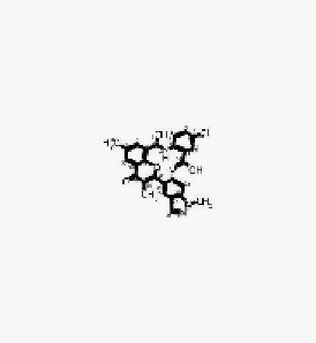 Cc1cc([C@@H](C)Nc2ccc(Cl)nc2C(=O)O)c2oc(-c3ccc4c(cnn4C)c3)c(C)c(=O)c2c1